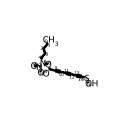 CCCCCN(OC(=O)C#CC#CC#CSO)[N+](=O)[O-]